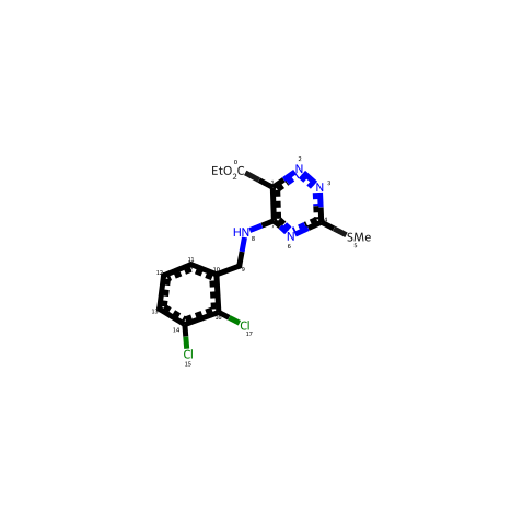 CCOC(=O)c1nnc(SC)nc1NCc1cccc(Cl)c1Cl